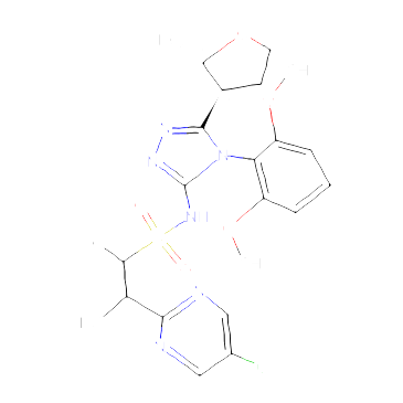 COc1cccc(OC)c1-n1c(NS(=O)(=O)C(C)C(C)c2ncc(Cl)cn2)nnc1[C@@H]1CCO[C@H]1C